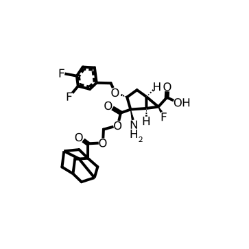 N[C@]1(C(=O)OCOC(=O)C23CC4CC(CC(C4)C2)C3)[C@H]2[C@@H](C[C@H]1OCc1ccc(F)c(F)c1)[C@]2(F)C(=O)O